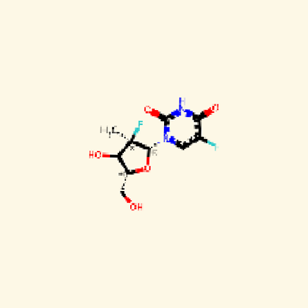 C[C@@]1(F)C(O)[C@@H](CO)O[C@H]1n1cc(F)c(=O)[nH]c1=O